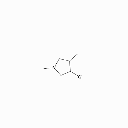 CC1CN(C)CC1Cl